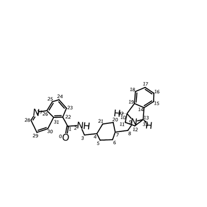 O=C(NCC1CCC(CN2[C@H]3CC[C@H]2c2ccccc23)CC1)c1cccc2ncccc12